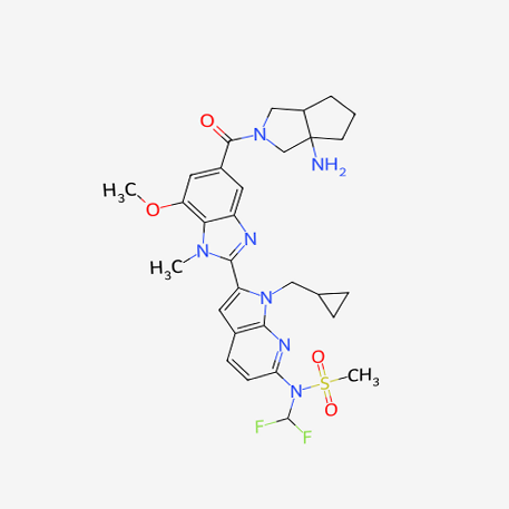 COc1cc(C(=O)N2CC3CCCC3(N)C2)cc2nc(-c3cc4ccc(N(C(F)F)S(C)(=O)=O)nc4n3CC3CC3)n(C)c12